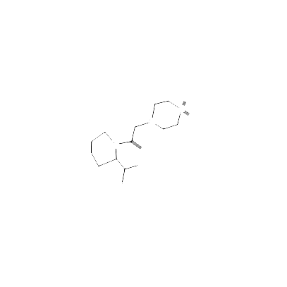 CC(C)C1CCCCN1C(=O)CN1CCS(=O)(=O)CC1